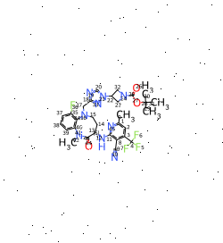 Cc1cc(C(F)(F)F)c(C#N)c(N[C@H]2CCN(Cc3ncn(C4CN(C(=O)OC(C)(C)C)C4)n3)c3c(F)cccc3N(C)C2=O)n1